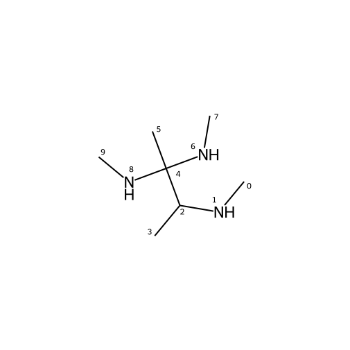 CNC(C)C(C)(NC)NC